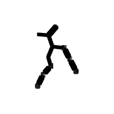 C=C(C)C(CN=C=O)N=C=O